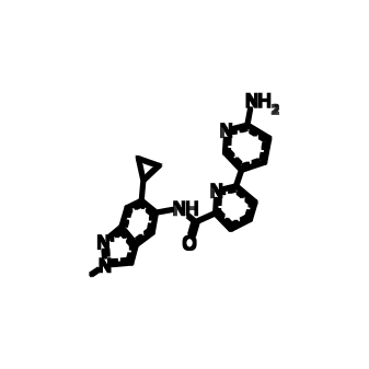 Cn1cc2cc(NC(=O)c3cccc(-c4ccc(N)nc4)n3)c(C3CC3)cc2n1